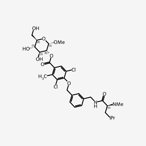 CN[C@@H](CC(C)C)C(=O)NCc1cccc(COc2c(Cl)cc(C(=O)O[C@H]3[C@@H](OC)O[C@H](CO)[C@@H](O)[C@@H]3O)c(C)c2Cl)c1